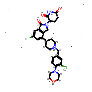 O=C1CCC(N2Cc3c(cc(F)cc3C3CCN(Cc4ccc(N5CCOCC5)c(Cl)c4)CC3)C2=O)C(=O)N1